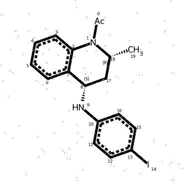 CC(=O)N1c2ccccc2[C@@H](Nc2ccc(I)cc2)C[C@H]1C